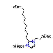 CCCCCCCCCCCCCCCCCCC1N(CCCCCCC)C=CN1CCCCCCCCCCCC